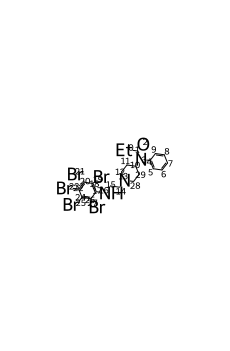 CCC(=O)N(c1ccccc1)C1CCN(CCNc2c(Br)c(Br)c(Br)c(Br)c2Br)CC1